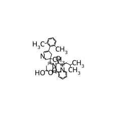 Cc1cccc(C)c1C1=CN=CC(C)([C@@H](CC(=O)O)NC(=O)[C@@H](CC(C)C)n2ccccc2=O)C1